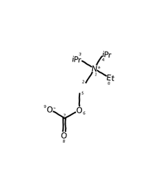 CC[N+](C)(C(C)C)C(C)C.COC(=O)[O-]